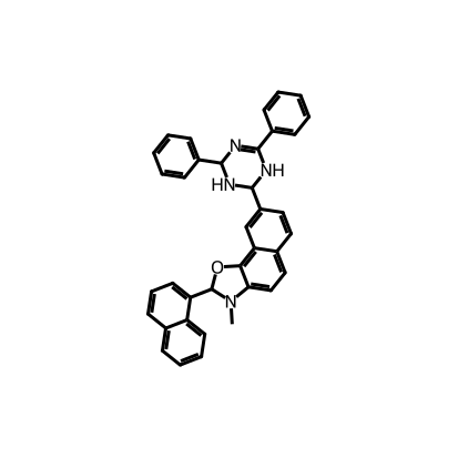 CN1c2ccc3ccc(C4NC(c5ccccc5)=NC(c5ccccc5)N4)cc3c2OC1c1cccc2ccccc12